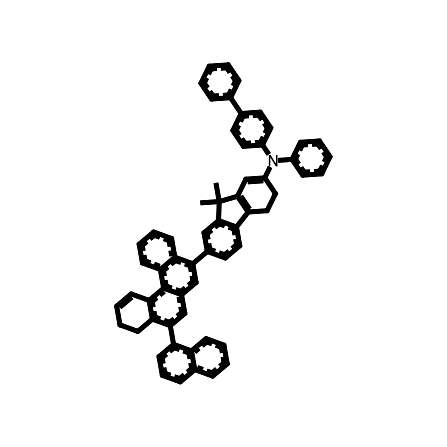 CC1(C)C2=C(CCC(N(c3ccccc3)c3ccc(-c4ccccc4)cc3)=C2)c2ccc(-c3cc4cc(-c5cccc6ccccc56)c5c(c4c4ccccc34)C=CCC5)cc21